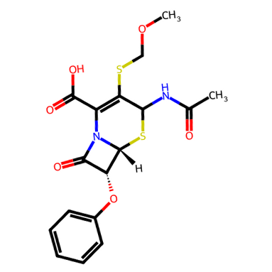 COCSC1=C(C(=O)O)N2C(=O)[C@@H](Oc3ccccc3)[C@H]2SC1NC(C)=O